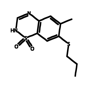 CCCSc1cc2c(cc1C)N=CNS2(=O)=O